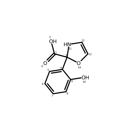 O=C(O)C1(c2ccccc2O)NC=CO1